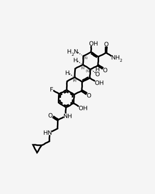 NC(=O)C1=C(O)[C@@H](N)[C@@H]2C[C@@H]3Cc4c(F)cc(NC(=O)CNCC5CC5)c(O)c4C(=O)C3=C(O)[C@]2(O)C1=O